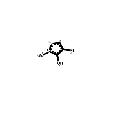 CCc1cnn(C(C)(C)C)c1O